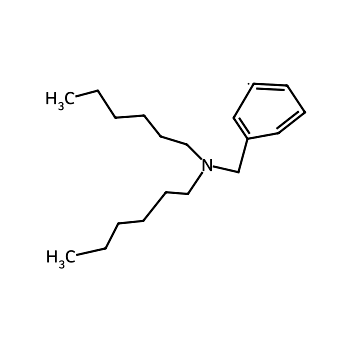 CCCCCCN(CCCCCC)Cc1c[c]ccc1